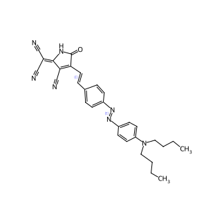 CCCCN(CCCC)c1ccc(/N=N/c2ccc(/C=C/C3=C(C#N)C(=C(C#N)C#N)NC3=O)cc2)cc1